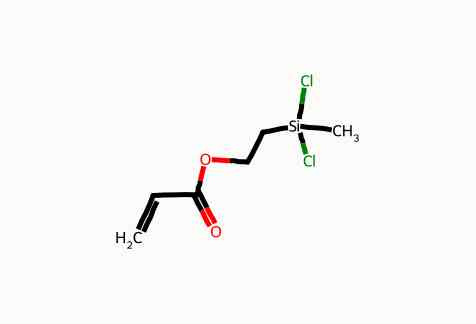 C=CC(=O)OCC[Si](C)(Cl)Cl